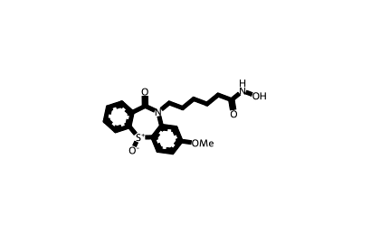 COc1ccc2c(c1)N(CCCCCC(=O)NO)C(=O)c1ccccc1[S+]2[O-]